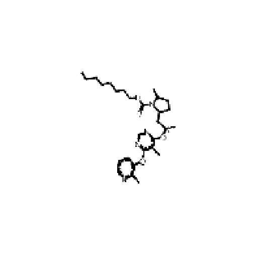 CCCCCCCCOC(=O)N1C(C)CCC1C[C@@H](C)Oc1ncnc(Oc2cccnc2C)c1C